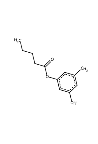 CCCCC(=O)Oc1cc(C)cc(O)c1